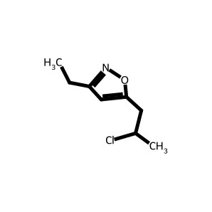 CCc1cc(CC(C)Cl)on1